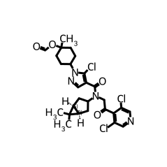 CC1(OC=O)CCC(n2ncc(C(=O)N(CC(=O)c3c(Cl)cncc3Cl)C3C[C@@H]4[C@H](C3)C4(C)C)c2Cl)CC1